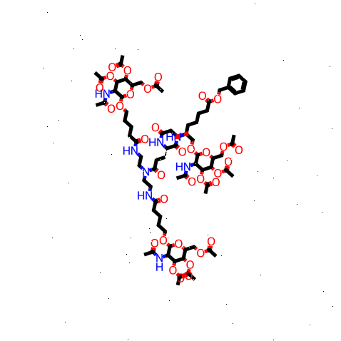 CC(=O)NC1C(OCCCCC(=O)NCCN(CCNC(=O)CCCCOC2OC(COC(C)=O)C(OC(C)=O)C(OC(C)=O)C2NC(C)=O)C(=O)CC[C@H](NC(=O)CCCCOC2OC(COC(C)=O)C(OC(C)=O)C(OC(C)=O)C2NC(C)=O)C(=O)NCCCCCC(=O)OCc2ccccc2)OC(COC(C)=O)C(OC(C)=O)C1OC(C)=O